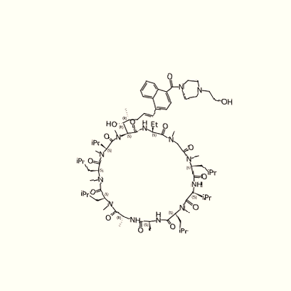 CC[C@@H]1NC(=O)[C@H]([C@H](O)[C@H](C)CC=Cc2ccc(C(=O)N3CCN(CCO)CC3)c3ccccc23)N(C)C(=O)[C@H](C(C)C)N(C)C(=O)[C@H](CC(C)C)N(C)C(=O)[C@H](CC(C)C)N(C)C(=O)[C@@H](C)NC(=O)[C@H](C)NC(=O)[C@H](CC(C)C)N(C)C(=O)[C@H](C(C)C)NC(=O)[C@H](CC(C)C)N(C)C(=O)CN(C)C1=O